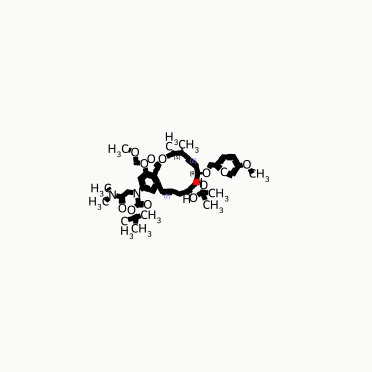 COCOc1cc(N(CC(=O)N(C)C)C(=O)OC(C)(C)C)cc2c1C(=O)O[C@@H](C)[C@H](C)/C=C\[C@@H](OCc1ccc(OC)cc1)[C@H]1OC(C)(C)O[C@H]1C/C=C/2